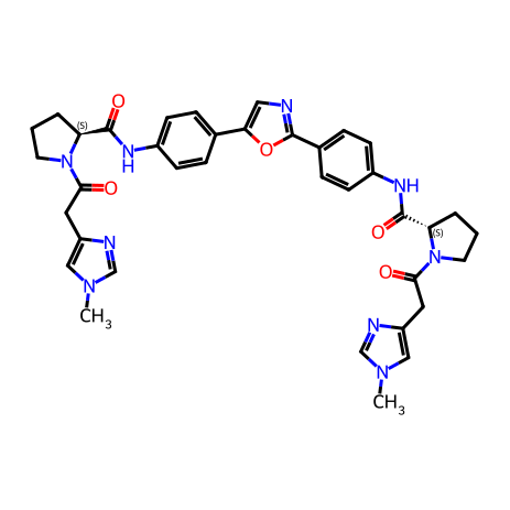 Cn1cnc(CC(=O)N2CCC[C@H]2C(=O)Nc2ccc(-c3cnc(-c4ccc(NC(=O)[C@@H]5CCCN5C(=O)Cc5cn(C)cn5)cc4)o3)cc2)c1